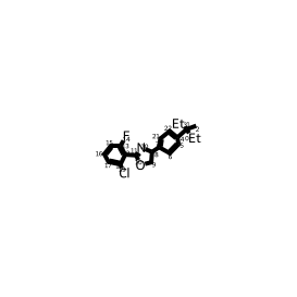 CCC(C)(CC)c1ccc(C2COC(c3c(F)cccc3Cl)=N2)cc1